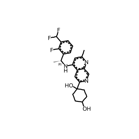 Cc1cc(N[C@H](C)c2cccc(C(F)F)c2F)c2cc(C3(O)CCC(O)CC3)ncc2n1